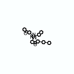 c1ccc(-c2ccc(-c3ccc4c(c3)oc3cccc(-c5nc(-c6ccc7ccccc7c6)nc(-c6ccc7c(c6)oc6ccccc67)n5)c34)cc2)cc1